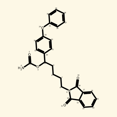 NC(=O)OC(CCCCN1C(=O)c2ccccc2C1=O)c1ccc(Oc2ccccc2)cc1